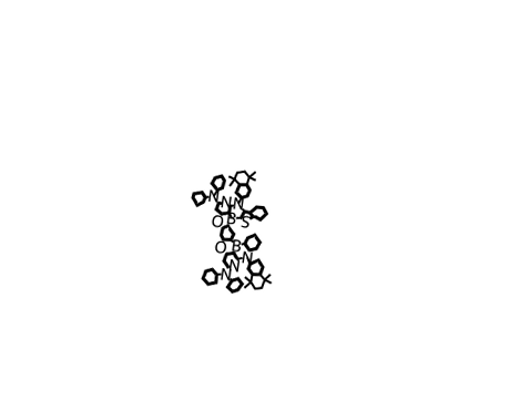 CC1(C)CCC(C)(C)c2cc(N3c4ccccc4B4c5cc6c(cc5Oc5cc(N(c7ccccc7)c7ccccc7)nc3c54)Oc3cc(N(c4ccccc4)c4ccccc4)nc4c3B6c3sc5ccccc5c3N4c3ccc4c(c3)C(C)(C)CCC4(C)C)ccc21